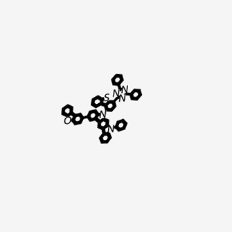 c1ccc(-c2nc(-c3ccccc3)nc(-c3ccc(-n4c5ccc(-c6ccc7oc8ccccc8c7c6)cc5c5cc6c7ccccc7n(-c7ccccc7)c6cc54)c4c3sc3ccccc34)n2)cc1